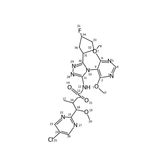 COc1ncnc(OC)c1-n1c(NS(=O)(=O)C(C)C(OC)c2ncc(Cl)cn2)nnc1C1CCC(F)C1